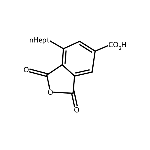 [CH2]CCCCCCc1cc(C(=O)O)cc2c1C(=O)OC2=O